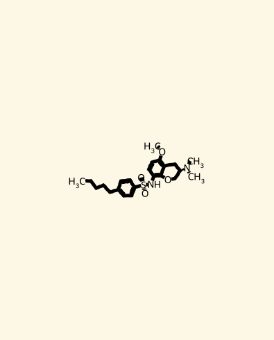 CCCCCc1ccc(S(=O)(=O)Nc2ccc(OC)c3c2OC[C@H](N(C)C)C3)cc1